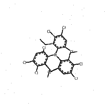 CCc1c(Cl)c(Cl)cc(Cl)c1B(c1c(Cl)cc(Cl)c(Cl)c1CC)c1c(Cl)cc(Cl)c(Cl)c1CC